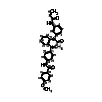 C=CC(=O)Nc1cccc(N(C=O)c2ccncc2N(C)c2ccc(NC(=O)c3ccc(OC)cc3)cc2)c1